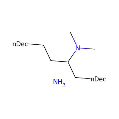 CCCCCCCCCCCCC(CCCCCCCCCCC)N(C)C.N